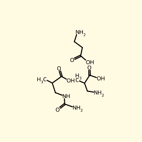 CC(CN)C(=O)O.CC(CNC(N)=O)C(=O)O.NCCC(=O)O